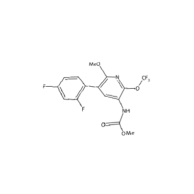 COC(=O)Nc1cc(-c2ccc(F)cc2F)c(OC)nc1OC(F)(F)F